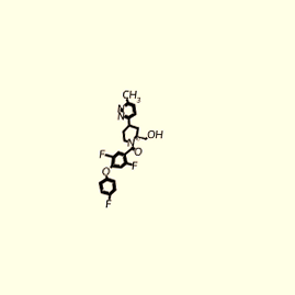 Cc1ccc(C2CCN(C(=O)c3cc(F)c(Oc4ccc(F)cc4)cc3F)[C@H](CO)C2)nn1